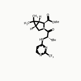 COC(=O)[C@@H]1[C@@H]2[C@H](CN1C(=O)[C@@H](Nc1ccnc(C(F)(F)F)n1)C(C)(C)C)C2(C)C